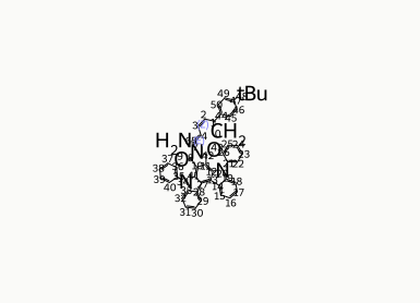 C=C(/C=C\C=C(/N)N1C(=O)c2c(c3c(c4ccccc4n3-c3ccccc3)c3c4ccccc4n(-c4ccccc4)c23)C1=O)c1ccc(C(C)(C)C)cc1